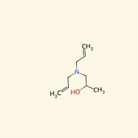 C=CCN(CC=C)CC(C)O